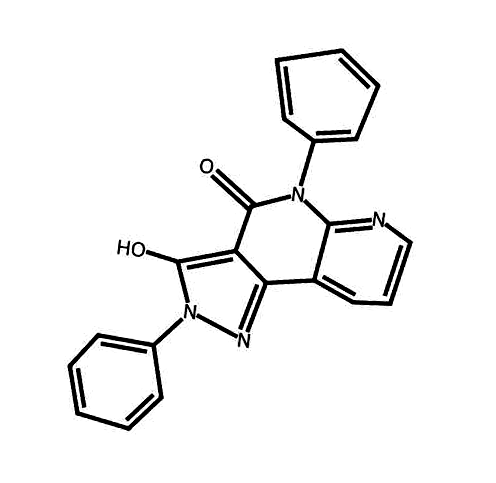 O=c1c2c(O)n(-c3ccccc3)nc2c2cccnc2n1-c1ccccc1